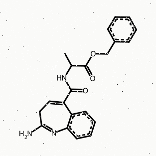 CC(NC(=O)C1=CCC(N)=Nc2ccccc21)C(=O)OCc1ccccc1